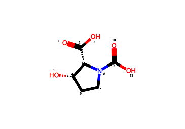 O=C(O)[C@H]1[C@@H](O)CCN1C(=O)O